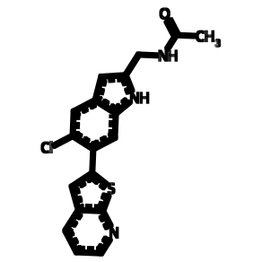 CC(=O)NCc1cc2cc(Cl)c(-c3cc4cccnc4s3)cc2[nH]1